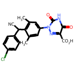 Cc1cc(-n2nc(C(=O)O)c(=O)[nH]c2=O)cc(C)c1C(C#N)c1ccc(Cl)cc1